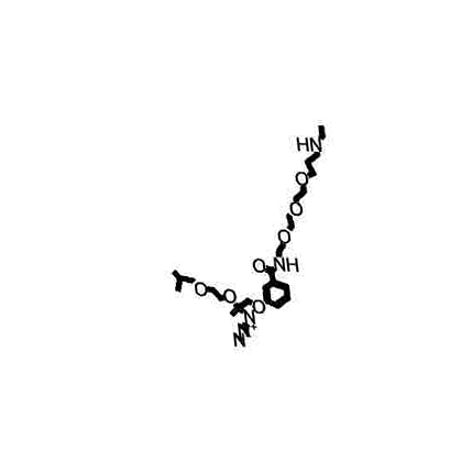 CCNCCCOCCOCCOCCNC(=O)c1cccc(OCC(C)(N=[N+]=[N-])OCCOCC(C)C)c1